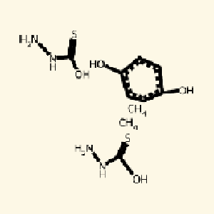 C.C.NNC(O)=S.NNC(O)=S.Oc1ccc(O)cc1